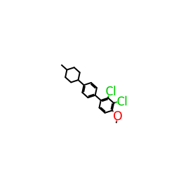 COc1ccc(-c2ccc(C3CCC(C)CC3)cc2)c(Cl)c1Cl